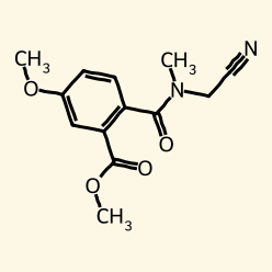 COC(=O)c1cc(OC)ccc1C(=O)N(C)CC#N